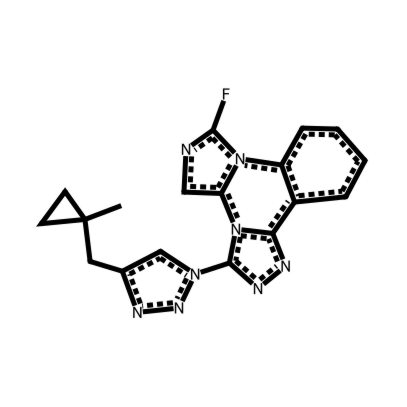 CC1(Cc2cn(-c3nnc4c5ccccc5n5c(F)ncc5n34)nn2)CC1